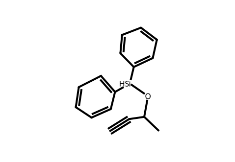 C#CC(C)O[SiH](c1ccccc1)c1ccccc1